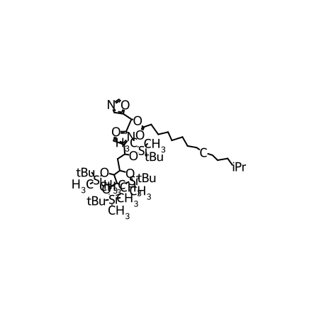 CC(C)CCCCCCCCCCCC(=O)OC(c1cnco1)c1nc(C(CC(O[Si](C)(C)C(C)(C)C)C(O[Si](C)(C)C(C)(C)C)C(C)O[Si](C)(C)C(C)(C)C)O[Si](C)(C)C(C)(C)C)co1